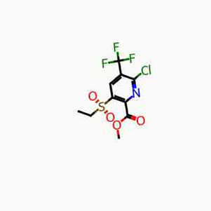 CCS(=O)(=O)c1cc(C(F)(F)F)c(Cl)nc1C(=O)OC